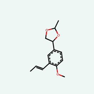 CC=Cc1cc(C2COC(C)O2)ccc1OC